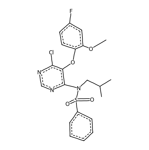 COc1cc(F)ccc1Oc1c(Cl)ncnc1N(CC(C)C)S(=O)(=O)c1ccccc1